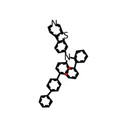 c1ccc(-c2ccc(-c3ccc(N(c4ccc5c(c4)sc4cnccc45)c4ccccc4-c4ccccc4)cc3)cc2)cc1